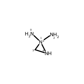 N[N+]1(N)CN1